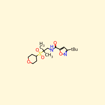 CC(C)(C)c1cc(C(=O)NCC(C)(C)S(=O)(=O)C2CCOCC2)on1